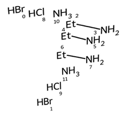 Br.Br.CCN.CCN.CCN.Cl.Cl.N.N